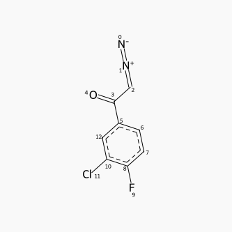 [N-]=[N+]=CC(=O)c1ccc(F)c(Cl)c1